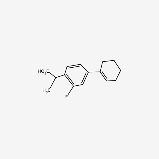 CC(C(=O)O)c1ccc(C2=CCCCC2)cc1F